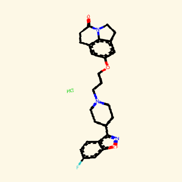 Cl.O=C1CCc2cc(OCCCN3CCC(c4noc5cc(F)ccc45)CC3)cc3c2N1CC3